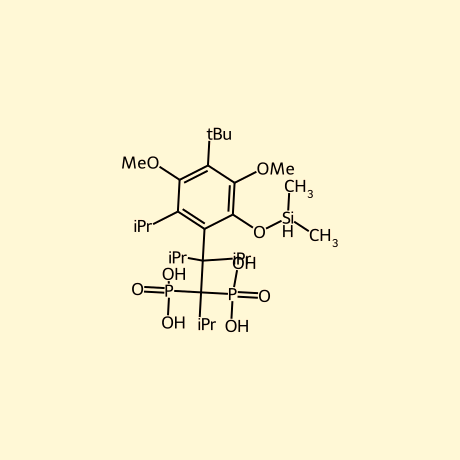 COc1c(O[SiH](C)C)c(C(C(C)C)(C(C)C)C(C(C)C)(P(=O)(O)O)P(=O)(O)O)c(C(C)C)c(OC)c1C(C)(C)C